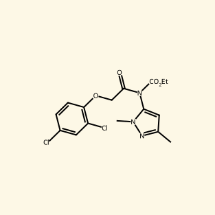 CCOC(=O)N(C(=O)COc1ccc(Cl)cc1Cl)c1cc(C)nn1C